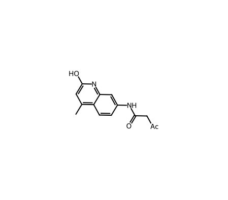 CC(=O)CC(=O)Nc1ccc2c(C)cc(O)nc2c1